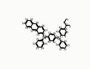 CCC(C)c1ccc(N(c2ccccc2)c2ccc(N(c3ccccc3)c3ccc4cc5ccccc5cc4c3)cc2)cc1